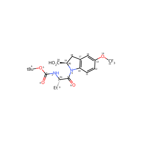 CC[C@H](NC(=O)OC(C)(C)C)C(=O)N1c2ccc(OC(F)(F)F)cc2C[C@@H]1C(=O)O